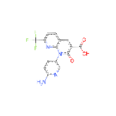 Nc1ccc(-n2c(=O)c(C(=O)O)cc3ccc(C(F)(F)F)nc32)cn1